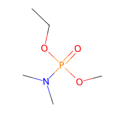 CCOP(=O)(OC)N(C)C